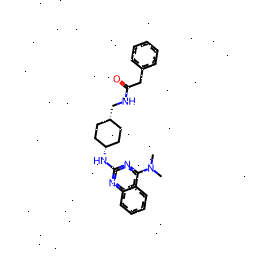 CN(C)c1nc(N[C@H]2CC[C@@H](CNC(=O)Cc3ccccc3)CC2)nc2ccccc12